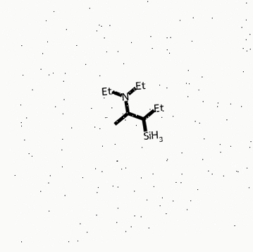 CCC([SiH3])C(C)N(CC)CC